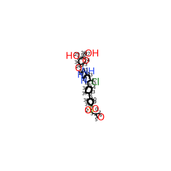 O=S(=O)(CC1COC1)c1ccc(-c2ccc(-c3nc4nc(O[C@H]5CO[C@H](CO)[C@@H](O)C5)[nH]c4cc3Cl)cc2)cc1